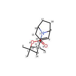 CC(C)(C)OC(=O)N1C2C=[C]([Sn]([CH3])([CH3])[CH3])CC1CC2